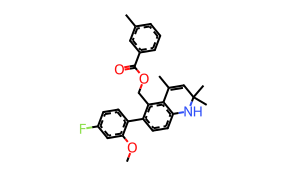 COc1cc(F)ccc1-c1ccc2c(c1COC(=O)c1cccc(C)c1)C(C)=CC(C)(C)N2